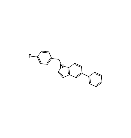 Fc1ccc(Cn2ccc3cc(-c4ccccc4)ccc32)cc1